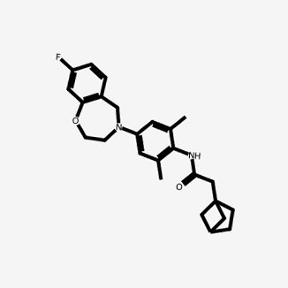 Cc1cc(N2CCOc3cc(F)ccc3C2)cc(C)c1NC(=O)CC12CCC(C1)C2